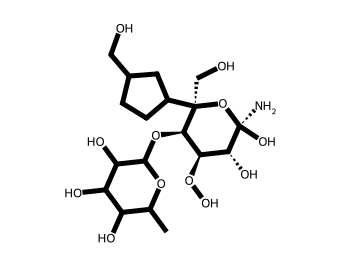 CC1OC(O[C@@H]2[C@H](OO)[C@@H](O)[C@](N)(O)O[C@]2(CO)C2CCC(CO)C2)C(O)C(O)C1O